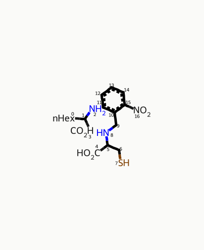 CCCCCCC(N)C(=O)O.O=C(O)C(CS)NCc1ccccc1[N+](=O)[O-]